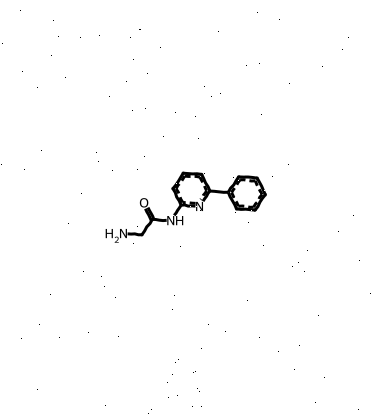 NCC(=O)Nc1cccc(-c2ccccc2)n1